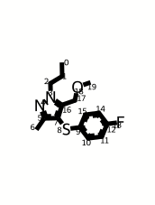 CCCn1nc(C)c(Sc2ccc(F)cc2)c1COC